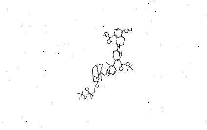 COC(=O)c1ccc(O)c2c1CN(c1ccc(-c3ccn(CC45CC6CC(C4)CC(OCCN(C)C(=O)OC(C)(C)C)(C6)C5)c3C)c(C(=O)OC(C)(C)C)n1)CC2